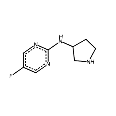 Fc1cnc(NC2CCNC2)nc1